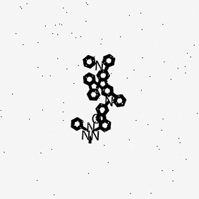 Cc1nc(-c2ccccc2)nc(-c2cccc3c2oc2ccc(-n4c5ccccc5c5cc6c(cc54)C4(c5ccccc5-c5ccccc54)c4cc5c(cc4-6)c4ccccc4n5-c4ccccc4)cc23)n1